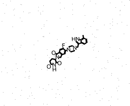 Cc1cccc2c(CN3CCN(c4cc5c(cc4F)C(=O)N(C4CCC(=O)NC4=O)C5)CC3)c[nH]c12